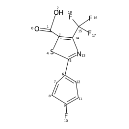 O=C(O)c1sc(-c2ccc(F)cc2)nc1C(F)(F)F